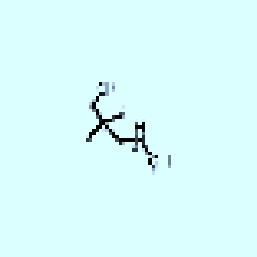 CC(C)(CCl)CNO